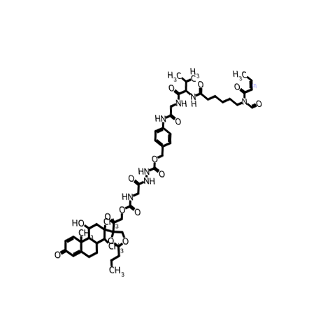 C/C=C\C(=O)N(C=O)CCCCCC(=O)NC(C(=O)NCC(=O)Nc1ccc(COC(=O)NNC(=O)CNC(=O)OCC(=O)C2(C3(C)CC(O)C4C(CCC5=CC(=O)C=CC54C)C3C)COC(CCC)O2)cc1)C(C)C